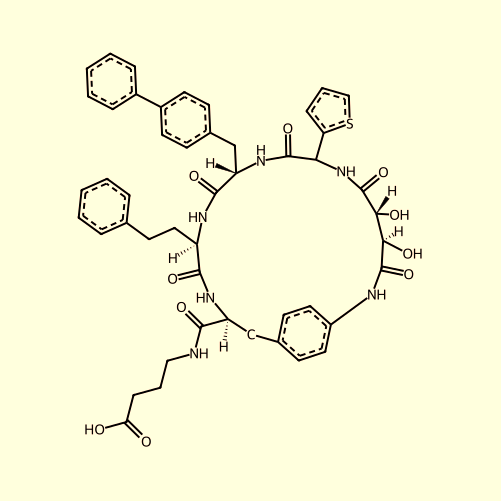 O=C(O)CCCNC(=O)[C@@H]1Cc2ccc(cc2)NC(=O)[C@H](O)[C@@H](O)C(=O)NC(c2cccs2)C(=O)N[C@@H](Cc2ccc(-c3ccccc3)cc2)C(=O)N[C@H](CCc2ccccc2)C(=O)N1